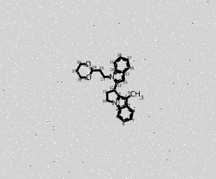 Cc1c2n(c3ccccc13)CCC2c1cc2ccccc2n1CCC1OCCCO1